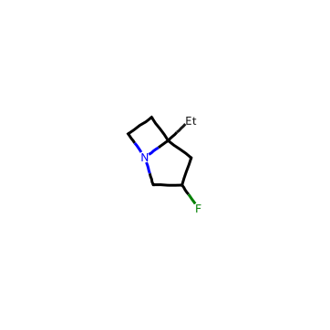 CCC12CCN1CC(F)C2